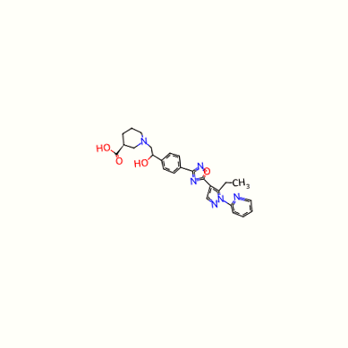 CCc1c(-c2nc(-c3ccc(C(O)CN4CCC[C@H](C(=O)O)C4)cc3)no2)cnn1-c1ccccn1